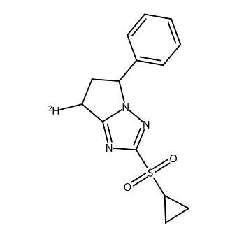 [2H]C1CC(c2ccccc2)n2nc(S(=O)(=O)C3CC3)nc21